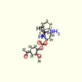 C/C=C1\[C@@H]2C=CCC1(N)C1=C(C2)NC(OC(=O)Oc2ccc(C(C)=O)cc2OC)C=C1